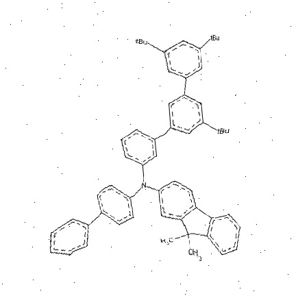 CC(C)(C)c1cc(-c2cccc(N(c3ccc(-c4ccccc4)cc3)c3ccc4c(c3)C(C)(C)c3ccccc3-4)c2)cc(-c2cc(C(C)(C)C)cc(C(C)(C)C)c2)c1